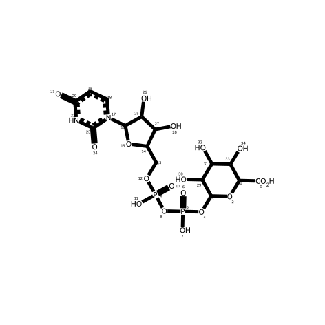 O=C(O)C1OC(OP(=O)(O)OP(=O)(O)OCC2OC(n3ccc(=O)[nH]c3=O)C(O)C2O)C(O)C(O)C1O